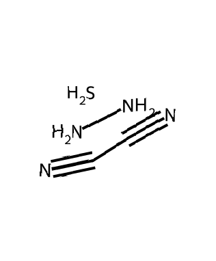 N#CC#N.NN.S